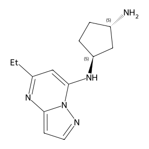 CCc1cc(N[C@H]2CC[C@H](N)C2)n2nccc2n1